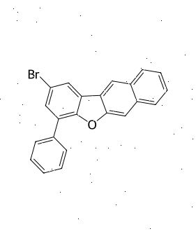 Brc1cc(-c2ccccc2)c2oc3cc4ccccc4cc3c2c1